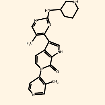 Cc1cnccc1-n1ccc2c(-c3nc(NC4CCCNC4)ncc3C(F)(F)F)c[nH]c2c1=O